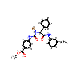 COC(=O)c1ccc(NC(=O)N(S)C(C(=O)Nc2cccc(C)c2)c2ccccc2)cc1